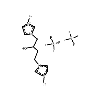 CC[n+]1ccn(CCC(O)Cn2cc[n+](CC)c2)c1.F[B-](F)(F)F.F[B-](F)(F)F